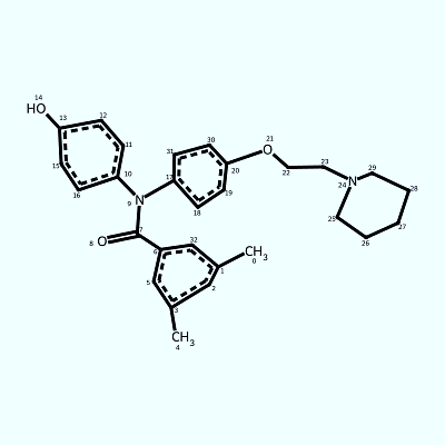 Cc1cc(C)cc(C(=O)N(c2ccc(O)cc2)c2ccc(OCCN3CCCCC3)cc2)c1